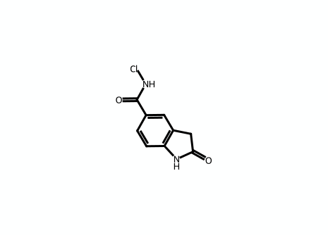 O=C1Cc2cc(C(=O)NCl)ccc2N1